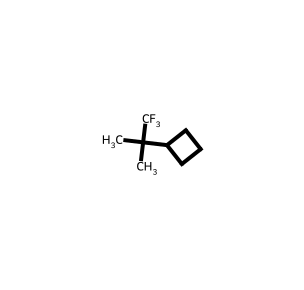 CC(C)(C1CCC1)C(F)(F)F